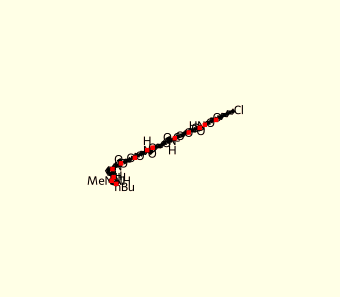 CCCCC(=N)/C=C(/NC)Nc1cccc(CNC(=O)OCCOCCOCCNC(=O)OC/C=C/COC(=O)NCCOCCOCCOC(=O)NCCOCCOCCCCCCCl)c1